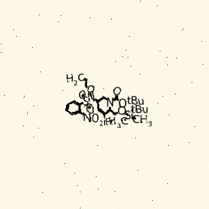 C=CCON(C1C=C(C(C)C)C(CO[Si](C)(C)C(C)(C)C)N(C(=O)OC(C)(C)C)C1)S(=O)(=O)c1ccccc1[N+](=O)[O-]